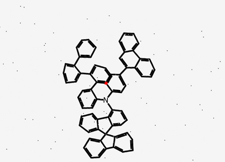 c1ccc(-c2ccccc2-c2ccccc2-c2ccccc2N(c2ccc(-c3cc4ccccc4c4ccccc34)cc2)c2cccc3c2-c2ccccc2C32c3ccccc3-c3ccccc32)cc1